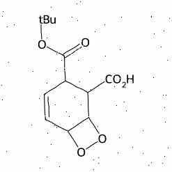 CC(C)(C)OC(=O)C1C=CC2OOC2C1C(=O)O